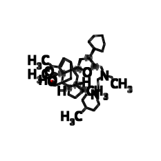 CCN(CCN1CCC(C)CC1)C[C@@H]1O[C@@H](C23C[C@@H]4[C@H](C)CC[C@H]4C4(C=O)CC2C=C(C(C)C)[C@]43C(=O)O)C[C@H]1C1CCCCC1